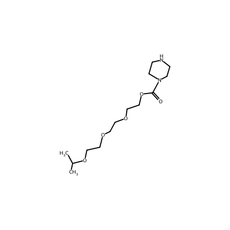 CC(C)OCCOCCOCCOC(=O)N1CCNCC1